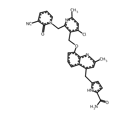 Cc1cc(Cl)c(COc2cccc3c(Cc4ccc(C(N)=O)[nH]4)cc(C)nc23)c(Cn2cccc(C#N)c2=O)n1